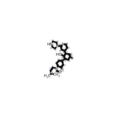 CN(C)/C=C\N(C=O)c1ccc(-c2cc(F)cc(-c3ccnc(N4CCNCC4)c3)c2O)cc1Cl